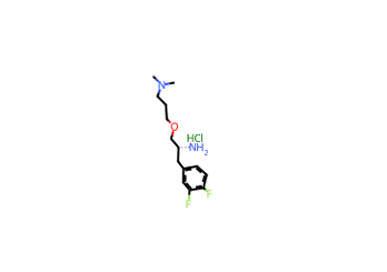 CN(C)CCCOC[C@H](N)Cc1ccc(F)c(F)c1.Cl